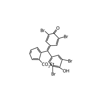 CCOC(=O)c1ccccc1C(=C1C=C(Br)C(=O)C(Br)=C1)c1cc(Br)c(O)c(Br)c1